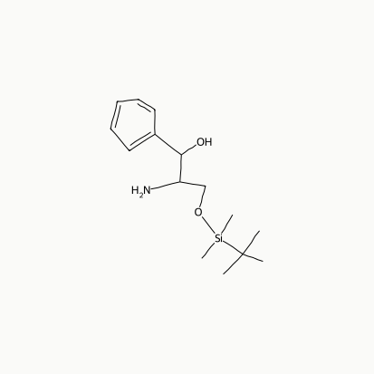 CC(C)(C)[Si](C)(C)OCC(N)C(O)c1ccccc1